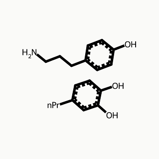 CCCc1ccc(O)c(O)c1.NCCCc1ccc(O)cc1